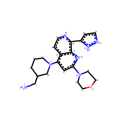 NCC1CCCN(c2cc(N3CCOCC3)nc3c(-c4ccn[nH]4)nccc23)C1